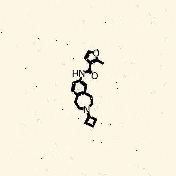 Cc1occc1C(=O)Nc1ccc2c(c1)CCN(C1CCC1)CC2